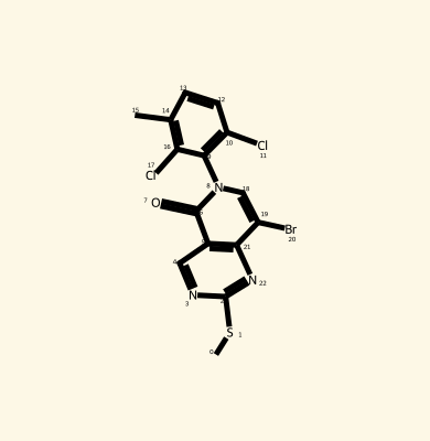 CSc1ncc2c(=O)n(-c3c(Cl)ccc(C)c3Cl)cc(Br)c2n1